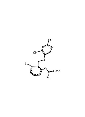 CCc1ccc(OCc2c(CC)cccc2CC(=O)OC)c(Cl)c1